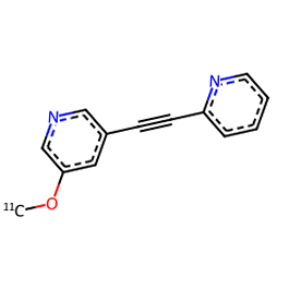 [11CH3]Oc1cncc(C#Cc2ccccn2)c1